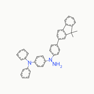 CC1(C)c2ccccc2-c2ccc(-c3ccc(N(N)c4ccc(N(c5ccccc5)c5ccccc5)cc4)cc3)cc21